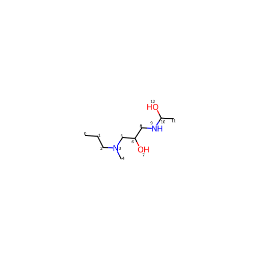 CCCN(C)CC(O)CNC(C)O